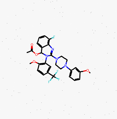 COc1cccc(N2CCN(C3=Nc4c(F)cccc4C(OC(C)=O)N3c3cc(C(F)(F)F)ccc3OC)CC2)c1